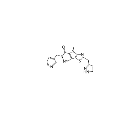 Cn1c2nc(Cc3cc[nH]n3)sc2c2cnn(Cc3cccnc3)c(=O)c21